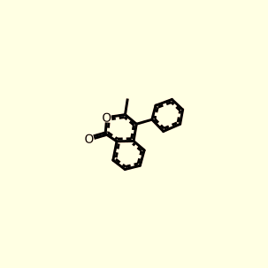 Cc1oc(=O)c2ccccc2c1-c1ccccc1